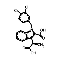 C=C(C(=O)O)c1c(C(=O)O)n(Cc2ccc(Cl)c(Cl)c2)c2ccccc12